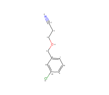 N#CCCOCc1cccc(Cl)c1